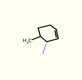 CC1CCC=C[C@@H]1I